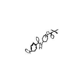 CC(C)(C)C(=O)ON1CCC(NC(=O)c2ccc(Cl)cc2)CC1